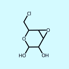 OC1OC(CCl)C2OC2C1O